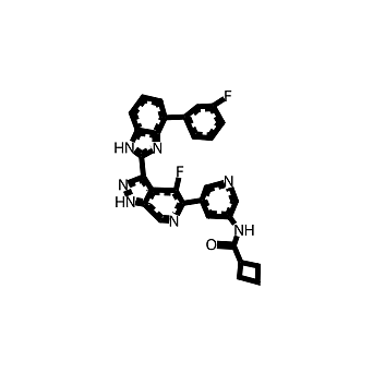 O=C(Nc1cncc(-c2ncc3[nH]nc(-c4nc5c(-c6cccc(F)c6)cccc5[nH]4)c3c2F)c1)C1CCC1